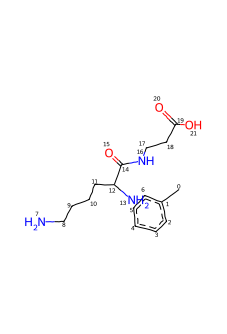 Cc1ccccc1.NCCCCC(N)C(=O)NCCC(=O)O